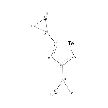 c1[te]c(C2CS2)cc1C1CS1